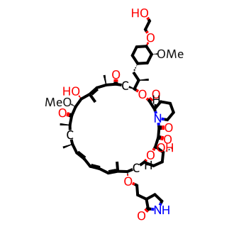 CO[C@@H]1C[C@H](C[C@@H](C)[C@@H]2CC(=O)[C@H](C)/C=C(\C)[C@@H](O)[C@@H](OC)C(=O)[C@H](C)C[C@H](C)/C=C/C=C/C=C(\C)[C@@H](OCCC3CCNC3=O)C[C@@H]3CC[C@@H](C)[C@@](O)(O3)C(=O)C(=O)N3CCCC[C@H]3C(=O)O2)CC[C@H]1OCCO